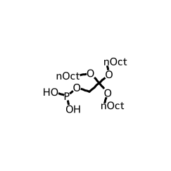 CCCCCCCCOC(COP(O)O)(OCCCCCCCC)OCCCCCCCC